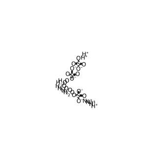 O.O.O.O.O.O.O=S(=O)([O-])[O-].O=S(=O)([O-])[O-].O=S(=O)([O-])[O-].[H+].[H+].[H+].[H+].[Na+].[Na+]